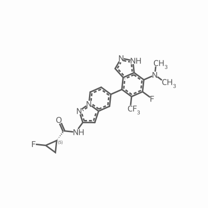 CN(C)c1c(F)c(C(F)(F)F)c(-c2ccn3nc(NC(=O)[C@@H]4CC4F)cc3c2)c2cn[nH]c12